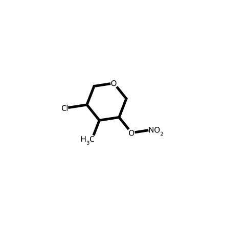 CC1C(Cl)COCC1O[N+](=O)[O-]